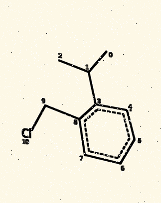 CC(C)c1[c]cccc1CCl